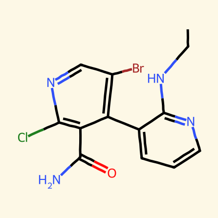 CCNc1ncccc1-c1c(Br)cnc(Cl)c1C(N)=O